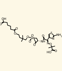 CC(C)(CCOC(=O)CCCCC(=O)O)COS(=O)(=O)N1C[C@H](NC(=O)/C(=N/OC(C)(C)C(=O)O)c2csc(N)n2)C1=O